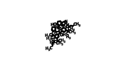 CCCCOc1c(C(C)(C)C)cc(C(O)(c2cc(C(C)(C)C)c(OCCCC)c(C(C)(C)C)c2)C(Cc2ccccc2)N=Cc2cc(C#N)ccc2O)cc1C(C)(C)C